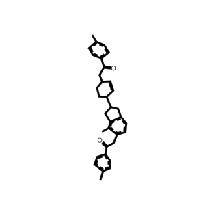 Cc1ccc(C(=O)Cc2ccc3c(c2C)CC(C2C=CC(CC(=O)c4ccc(C)cc4)CC2)C3)cc1